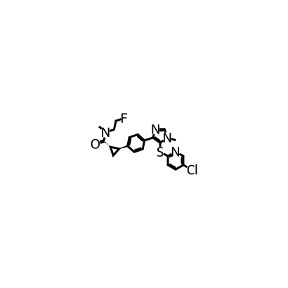 CN(CCF)C(=O)[C@H]1C[C@@H]1c1ccc(-c2ncn(C)c2Sc2ccc(Cl)cn2)cc1